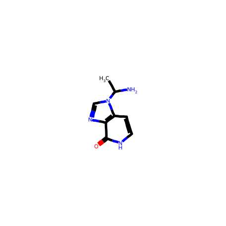 CC(N)n1cnc2c(=O)[nH]ccc21